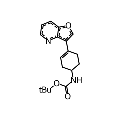 CC(C)(C)OC(=O)NC1CC=C(c2coc3cccnc23)CC1